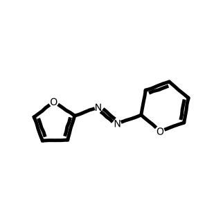 C1=COC(N=Nc2ccco2)C=C1